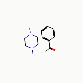 CN1CCN(C)CC1.COC(=O)c1ccccc1